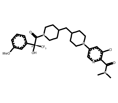 COc1cccc([C@@](O)(C(=O)N2CCC(CC3CCN(c4cnc(C(=O)N(C)C)c(Cl)c4)CC3)CC2)C(F)(F)F)c1